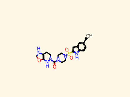 C#Cc1ccc2[nH]c(S(=O)(=O)N3CCN(C(=O)N4CCC5=C(N4)OCN5)CC3)cc2c1